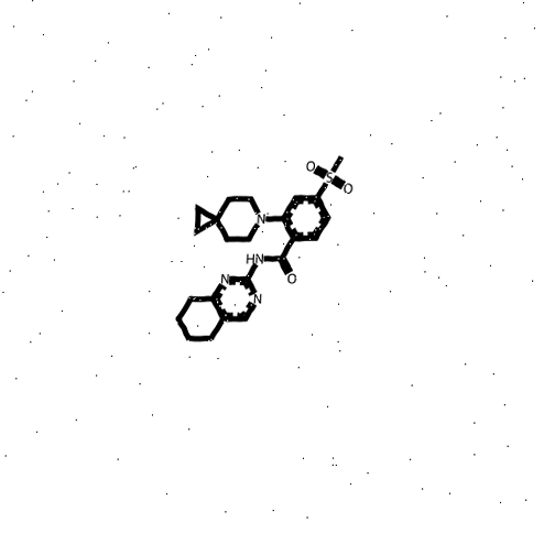 CS(=O)(=O)c1ccc(C(=O)Nc2ncc3c(n2)CCCC3)c(N2CCC3(CC2)CC3)c1